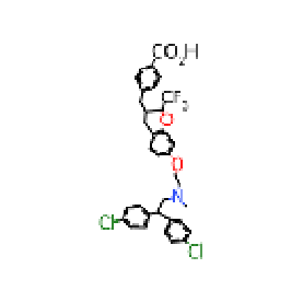 CN(CCOc1ccc(CC(Cc2ccc(C(=O)O)cc2)C(=O)C(F)(F)F)cc1)CC(c1ccc(Cl)cc1)c1ccc(Cl)cc1